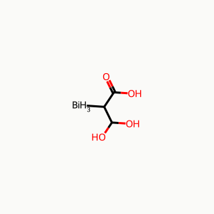 CC(C(=O)O)C(O)O.[BiH3]